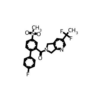 CC(F)(F)c1cnc2c(c1)CN(C(=O)c1cc(S(C)(=O)=O)ccc1-c1ccc(F)cc1)C2